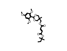 CCC(C)(C)OC(=O)/C=C/C(=O)OCC1(C)COC(c2c(OC)cc(OC)cc2OC)OC1